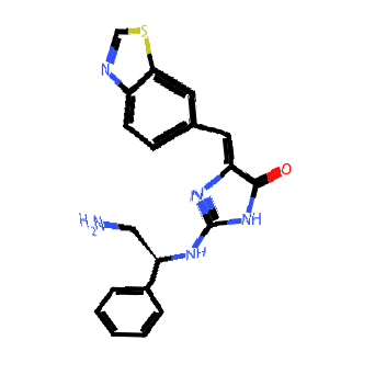 NC[C@@H](NC1=N/C(=C\c2ccc3ncsc3c2)C(=O)N1)c1ccccc1